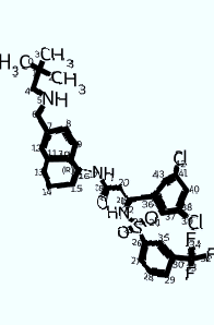 CC(C)(C)CNCc1ccc2c(c1)CCC[C@H]2NC(=O)C[C@H](NS(=O)(=O)c1cccc(C(F)(F)F)c1)c1cc(Cl)cc(Cl)c1